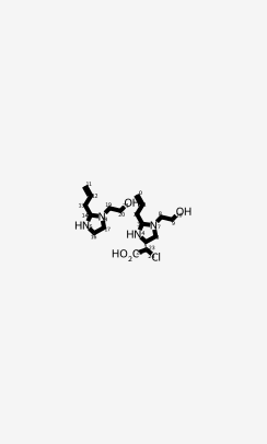 C=CCC1NCCN1CCO.C=CCC1NCCN1CCO.O=C(O)CCl